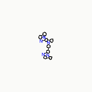 N#Cc1cc(-c2ccc(-n3c4ccccc4c4cc(-n5c6ccccc6c6ccccc65)c(C#N)cc43)cc2)ccc1-n1c2ccccc2c2ccccc21